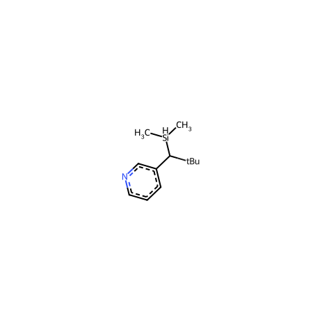 C[SiH](C)C(c1cccnc1)C(C)(C)C